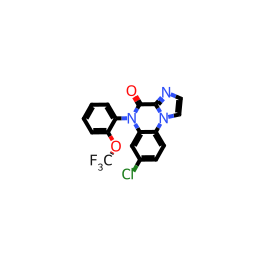 O=c1c2nccn2c2ccc(Cl)cc2n1-c1ccccc1OC(F)(F)F